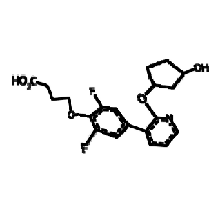 O=C(O)CCCOc1c(F)cc(-c2cccnc2OC2CCC(O)C2)cc1F